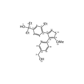 CCc1cc(C(O)(CC)CC)ccc1-c1csc(OC)c1-c1ccc(CO)cc1